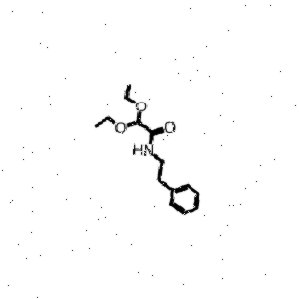 CCOC(OCC)C(=O)NCCc1ccccc1